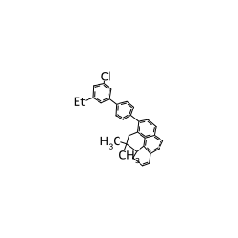 CCc1cc(Cl)cc(-c2ccc(-c3ccc4ccc5c6c4c3CC(C)(C)C6CC=C5)cc2)c1